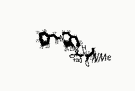 CN[C@@H](C)C(=O)N[C@H](C(=O)N1CCC2CCN(CCc3ccccc3)CC21)C(C)(C)C